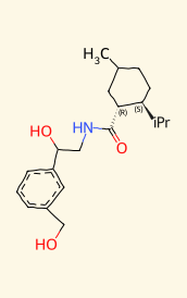 CC1CC[C@@H](C(C)C)[C@H](C(=O)NCC(O)c2cccc(CO)c2)C1